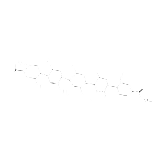 COC(=O)C1CCC(C2CC(C)C(C3CC(C)C(C4CC(C)C(C5CCC(C(=O)OC)CC5C)CC4C)CC3C)CC2C)C(C)C1